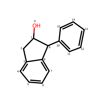 OC1Cc2ccccc2[C]1c1ccccc1